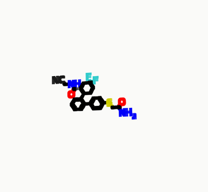 N#CCNC(=O)[C@@H]1CC(F)(F)CC[C@H]1c1ccccc1-c1ccc(SCC(N)=O)cc1